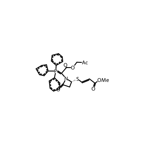 COC(=O)C=CS[C@@H]1CC(=O)N1C(C(=O)OCC(C)=O)=P(c1ccccc1)(c1ccccc1)c1ccccc1